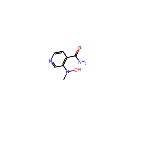 CN(O)c1cnccc1C(N)=O